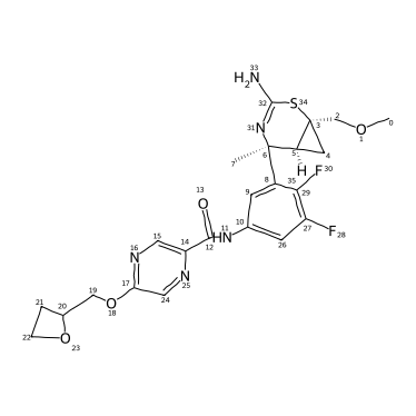 COC[C@]12C[C@H]1[C@@](C)(c1cc(NC(=O)c3cnc(OCC4CCO4)cn3)cc(F)c1F)N=C(N)S2